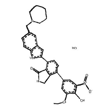 COc1cc(-c2ccc(-c3cc4cc(CN5CCCCC5)ccc4[nH]3)c3c2CNC3=O)cc([N+](=O)[O-])c1O.Cl